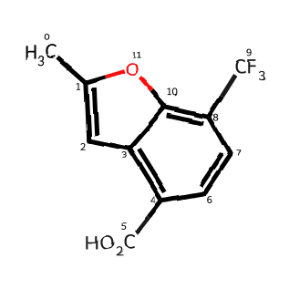 Cc1cc2c(C(=O)O)ccc(C(F)(F)F)c2o1